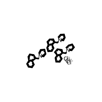 [Cl-].[Cl-].[Cl-].c1cc[n+](Cc2cccc3ccccc23)cc1.c1cc[n+](Cc2cccc3ccccc23)cc1.c1cc[n+](Cc2cccc3ccccc23)cc1